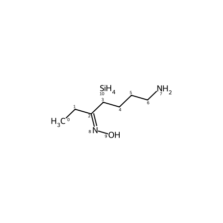 CCC(CCCCN)=NO.[SiH4]